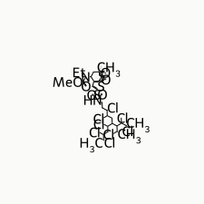 CCN(C(=O)OC)[C@H]1C[C@H](C)S(=O)(=O)c2sc(S(=O)(=O)NCCC(Cl)C(Cl)CC(C(Cl)CC(Cl)C(C)Cl)C(C(C)Cl)C(Cl)C(C)Cl)cc21